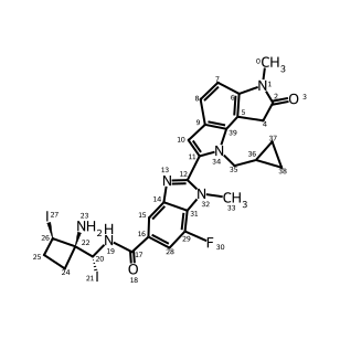 CN1C(=O)Cc2c1ccc1cc(-c3nc4cc(C(=O)N[C@H](I)[C@]5(N)CC[C@H]5I)cc(F)c4n3C)n(CC3CC3)c21